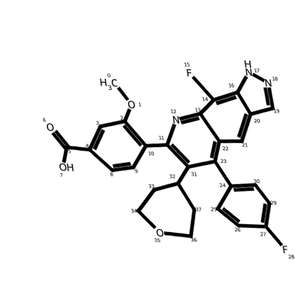 COc1cc(C(=O)O)ccc1-c1nc2c(F)c3[nH]ncc3cc2c(-c2ccc(F)cc2)c1C1CCOCC1